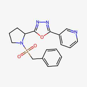 O=S(=O)(Cc1ccccc1)N1CCCC1c1nnc(-c2cccnc2)o1